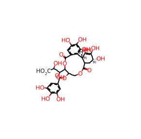 O=C(OC1COC(=O)C2C[C@@H](O)C(O)=C(O)[C@H]2c2c(cc(O)c(O)c2O)C(=O)OC1C(O)C(O)C(=O)O)c1cc(O)c(O)c(O)c1